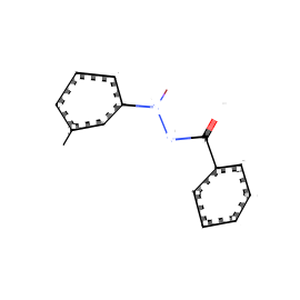 Cc1cccc(N(Br)NC(=O)c2ccccc2)c1